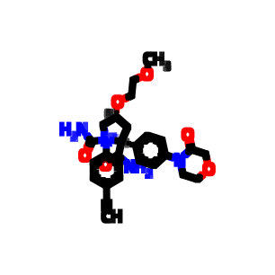 C#Cc1ccc([N+]2(C(N)=O)C[C@H](OCCOC)C[C@]2(C(N)=O)c2ccc(N3CCOCC3=O)cc2)cc1